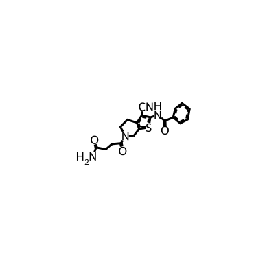 N#Cc1c(NC(=O)c2ccccc2)sc2c1CCN(C(=O)CCC(N)=O)C2